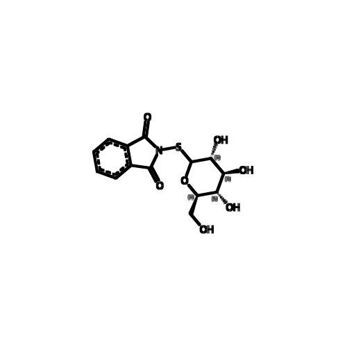 O=C1c2ccccc2C(=O)N1SC1O[C@H](CO)[C@@H](O)[C@H](O)[C@H]1O